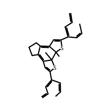 C=C/C=C(\C=C/C)C1=CC2=C3CCCC3=C3C=C(C(/C=C\C)=C/C=C)SC3(C)C2(C)S1